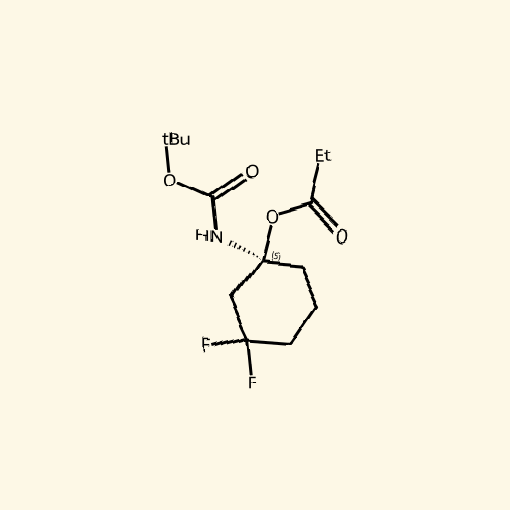 CCC(=O)O[C@@]1(NC(=O)OC(C)(C)C)CCCC(F)(F)C1